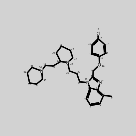 Cc1cccc2c1nc(COc1ccc(Cl)cc1)n2CCCN1CCCCC1CCN1CCCCC1